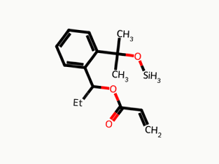 C=CC(=O)OC(CC)c1ccccc1C(C)(C)O[SiH3]